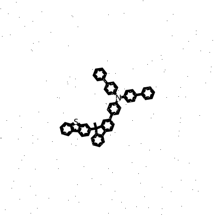 CC1(c2ccc3c(c2)sc2ccccc23)c2ccccc2-c2ccc(-c3ccc(N(c4ccc(-c5ccccc5)cc4)c4ccc(-c5ccccc5)cc4)cc3)cc21